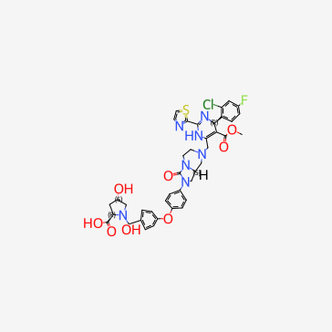 COC(=O)C1=C(CN2CCN3C(=O)N(c4ccc(Oc5ccc(C(O)N6C[C@@H](O)C[C@@H]6C(=O)O)cc5)cc4)C[C@@H]3C2)NC(c2nccs2)=N[C@H]1c1ccc(F)cc1Cl